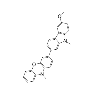 COc1ccc2c(c1)c1ccc(-c3ccc4c(c3)Oc3ccccc3N4C)cc1n2C